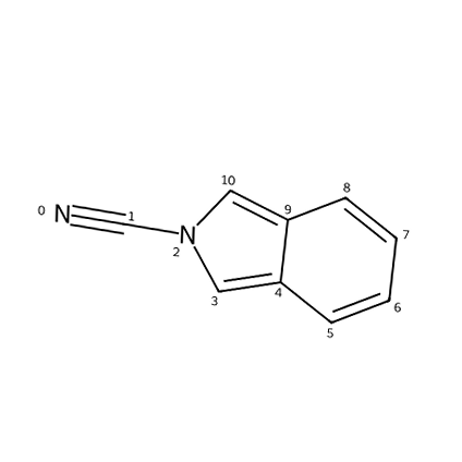 N#Cn1cc2ccccc2c1